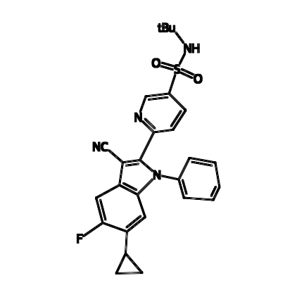 CC(C)(C)NS(=O)(=O)c1ccc(-c2c(C#N)c3cc(F)c(C4CC4)cc3n2-c2ccccc2)nc1